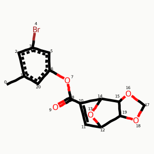 Cc1cc(Br)cc(OC(=O)C2=CC3OC2C2OCOC32)c1